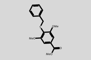 COC(=O)c1cc(OC)c(SCc2ccccc2)c(OC)c1